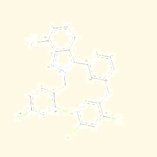 Fc1ccc(Cc2cccc(-c3c4cccc(C(F)(F)F)c4nn3Cc3ccc(Cl)cc3F)c2)c(Cl)c1